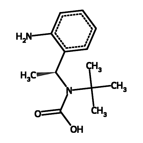 C[C@H](c1ccccc1N)N(C(=O)O)C(C)(C)C